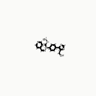 CC(C)(C)OC(=O)N(/N=C\c1ccncc1)c1ccc(-c2ocnc2CO)cc1